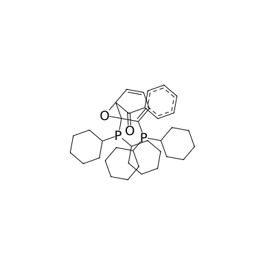 O=C(c1ccccc1)C12C=CC=C(P(C3CCCCC3)C3CCCCC3)C1(P(C1CCCCC1)C1CCCCC1)O2